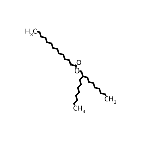 CCCCCCCCCCCCCC(=O)OCC(CCCCCCCC)CCCCCCCC